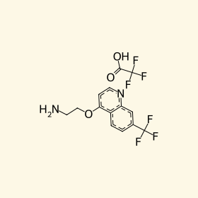 NCCOc1ccnc2cc(C(F)(F)F)ccc12.O=C(O)C(F)(F)F